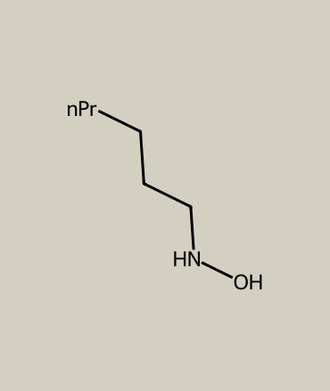 [CH2]CCCCCNO